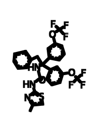 Cc1csc(NC(=O)NC(Cc2ccccc2)(c2cccc(OC(F)(F)F)c2)c2cccc(OC(F)(F)F)c2)n1